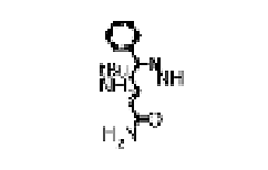 CC(C)(C)N.N=NC(CCCC(N)=O)c1ccccc1